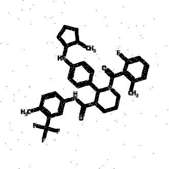 Cc1ccc(NC(=O)C2CCCN(C(=O)c3c(C)cccc3F)C2c2ccc(NC3CCCC3C)cc2)cc1C(F)(F)F